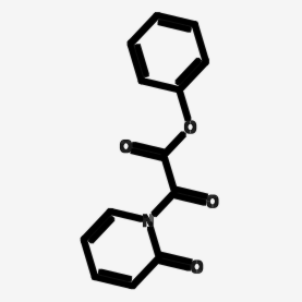 O=C(Oc1ccccc1)C(=O)n1ccccc1=O